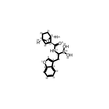 O=C(NC(Cc1coc2ccccc12)B(O)O)[C@H]1C[C@H]2CC[C@@H]1O2